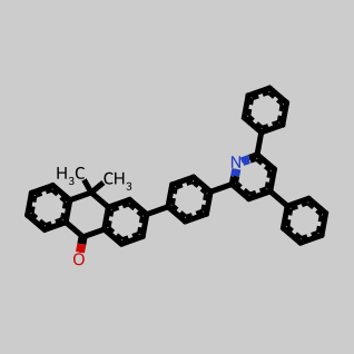 CC1(C)c2ccccc2C(=O)c2ccc(-c3ccc(-c4cc(-c5ccccc5)cc(-c5ccccc5)n4)cc3)cc21